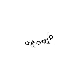 CC(C)(C)OC(=O)C[C@H](NC(=O)[C@H]1CC[C@H](NC(=O)C(=O)Nc2ccccc2C(C)(C)C)CC1)C(=O)COc1c(F)c(F)cc(F)c1F